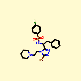 O=S(=O)(NC(Cc1ccccc1)c1nnc(S)n1CCN1CCCCC1)c1ccc(Cl)cc1